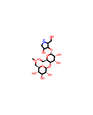 COC[C@H]1O[C@@H](O[C@@H]2[C@@H](O)[C@@H](O)[C@@H](OC3C(O)CNC3CO)O[C@@H]2CO)[C@H](O)[C@@H](O)[C@@H]1O